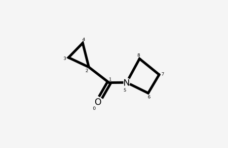 O=C(C1CC1)N1CCC1